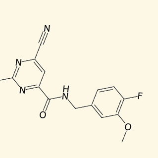 COc1cc(CNC(=O)c2cc(C#N)nc(C)n2)ccc1F